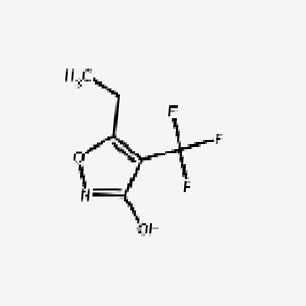 CCc1onc(O)c1C(F)(F)F